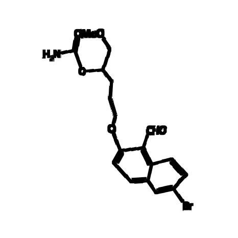 COCC(CCCOc1ccc2cc(Br)ccc2c1C=O)OC(N)=O